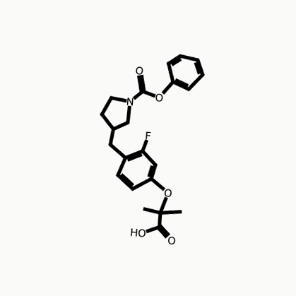 CC(C)(Oc1ccc(CC2CCN(C(=O)Oc3ccccc3)C2)c(F)c1)C(=O)O